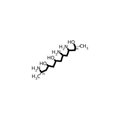 C[C@H](N)CC(O)CC(O)CC(N)CC(N)C[C@@H](C)O